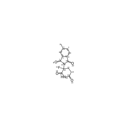 Cc1ccc2c(c1)C(=O)N(C1(F)CCC(=O)NC1=O)C2=O